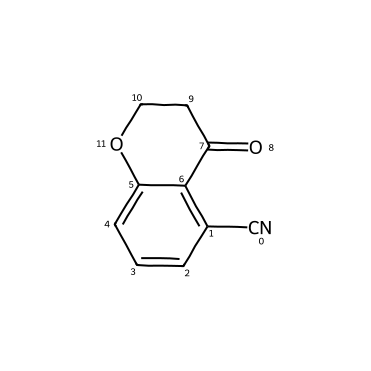 N#Cc1cccc2c1C(=O)CCO2